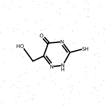 O=c1nc(S)[nH]nc1CO